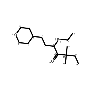 CCNC(CCC1CCOCC1)C(=O)C(C)(C)CC